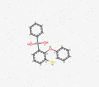 O[Si](O)(c1ccccc1)c1cccc(S)c1Oc1ccccc1